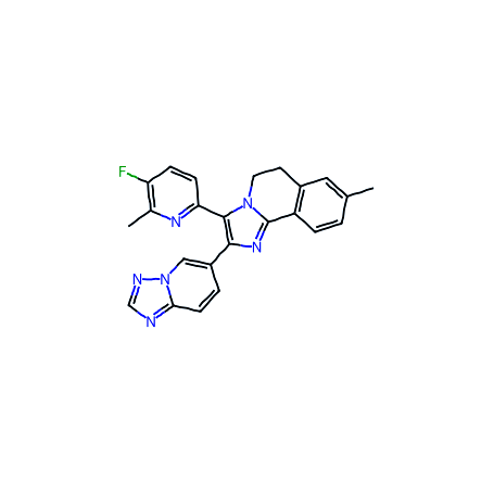 Cc1ccc2c(c1)CCn1c-2nc(-c2ccc3ncnn3c2)c1-c1ccc(F)c(C)n1